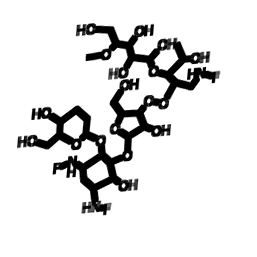 COC(CO)C(O)C(O)C(O)OC(C(C)O)C(CNF)OOC1C(CO)OC(OC2C(O)C(NF)CC(NF)C2OC2CCC(O)C(CO)O2)C1O